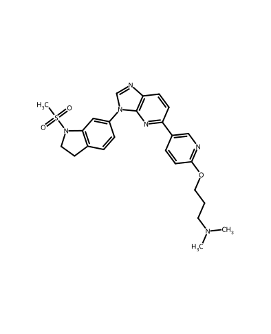 CN(C)CCCOc1ccc(-c2ccc3ncn(-c4ccc5c(c4)N(S(C)(=O)=O)CC5)c3n2)cn1